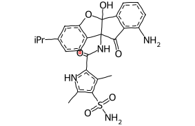 Cc1[nH]c(C(=O)NC23C(=O)c4c(N)cccc4C2(O)Oc2cc(C(C)C)ccc23)c(C)c1S(N)(=O)=O